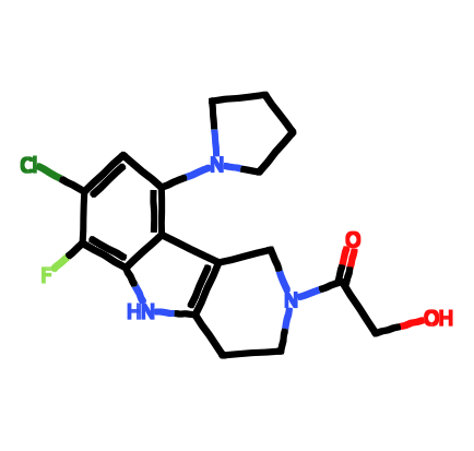 O=C(CO)N1CCc2[nH]c3c(F)c(Cl)cc(N4CCCC4)c3c2C1